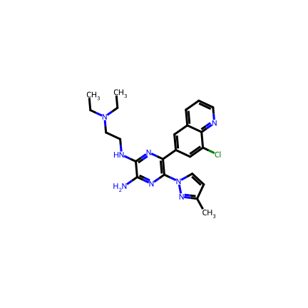 CCN(CC)CCNc1nc(-c2cc(Cl)c3ncccc3c2)c(-n2ccc(C)n2)nc1N